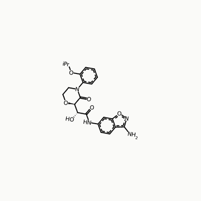 CC(C)Oc1ccccc1N1CCO[C@H]([C@@H](O)C(=O)Nc2ccc3c(N)noc3c2)C1=O